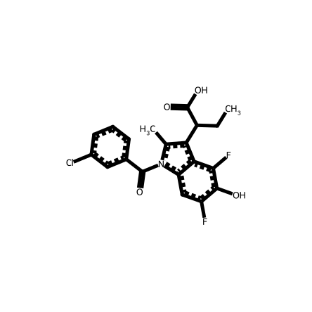 CCC(C(=O)O)c1c(C)n(C(=O)c2cccc(Cl)c2)c2cc(F)c(O)c(F)c12